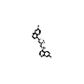 COC(CNc1ccnc2cc(F)ccc12)CNc1ccnc2cc(F)ccc12